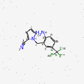 N#Cc1cccn1Cc1cc(C(F)(F)F)ccc1N